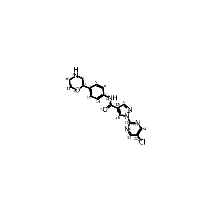 O=C(Nc1ccc(C2CNCCO2)cc1)c1cnn(-c2ncc(Cl)cn2)c1